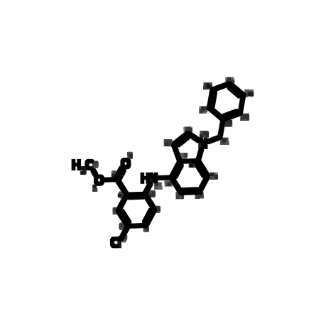 COC(=O)c1cc(Cl)ccc1Nc1cccc2c1ccn2Cc1ccccc1